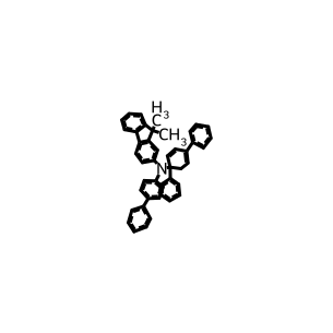 CC1(C)c2ccccc2-c2ccc(N(c3ccc(-c4ccccc4)cc3)C3(c4ccccc4)C=CC(c4ccccc4)=CC3)cc21